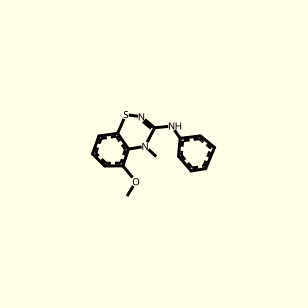 COc1cccc2c1N(C)C(Nc1ccccc1)=NS2